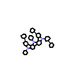 c1ccc(-c2cccc(-n3c4ccc(-c5ccccc5)cc4c4c3ccc3c5ccc6c(c7cc(-c8ccccc8)ccc7n6-c6ccccc6)c5n(-c5ccccc5)c34)c2)cc1